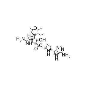 CCC(CC)[C@H](NC(C)=O)C1[C@H](NC(=N)N)C[C@H](C(=O)OC[C@@H]2CC[C@H](c3c[nH]c4c(N)ncnc34)N2)[C@H]1O